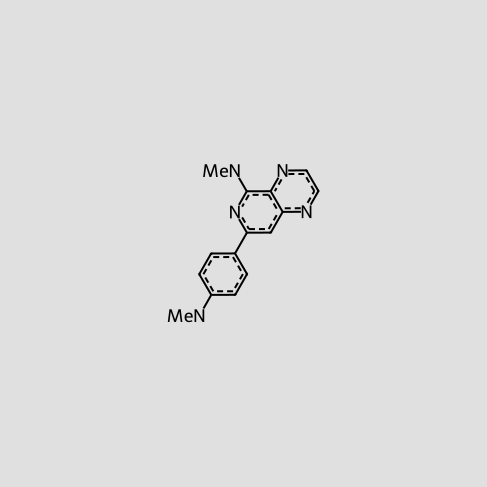 CNc1ccc(-c2cc3nccnc3c(NC)n2)cc1